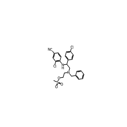 CS(=O)(=O)OCCN(Cc1ccccc1)CC(Nc1ccc(C#N)cc1Cl)c1ccc(Cl)cc1